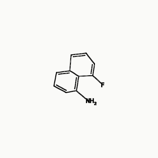 Nc1cccc2cccc(F)c12